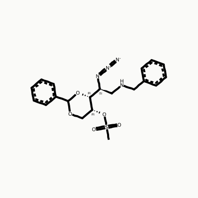 CS(=O)(=O)O[C@@H]1COC(c2ccccc2)O[C@@H]1[C@H](CNCc1ccccc1)N=[N+]=[N-]